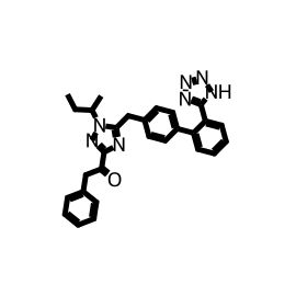 CCC(C)n1nc(C(=O)Cc2ccccc2)nc1Cc1ccc(-c2ccccc2-c2nnn[nH]2)cc1